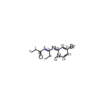 CCC(=O)/C=C(CC)/N=c1/cc(Br)ccn1C